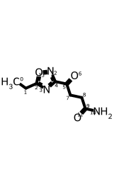 CCc1nc(C(=O)CCC(N)=O)no1